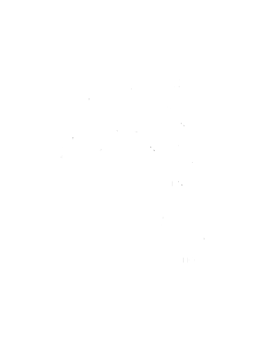 O=c1[nH]c(CNCC(O)CO)nc2c1oc1ccc(Br)cc12